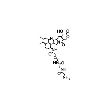 Cc1c(F)cc2nc3c(c4c2c1CC[C@@H]4NC(=O)COCNC(=O)CNC(=O)CN)CN1C(=O)C2=C(CC31)[C@H](O)C(=O)OC2